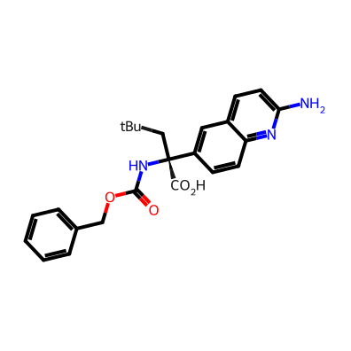 CC(C)(C)C[C@](NC(=O)OCc1ccccc1)(C(=O)O)c1ccc2nc(N)ccc2c1